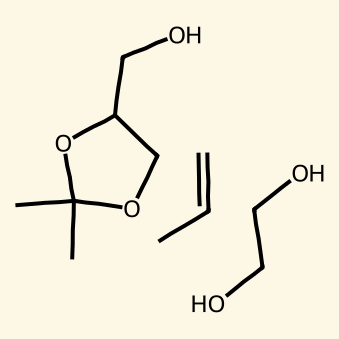 C=CC.CC1(C)OCC(CO)O1.OCCO